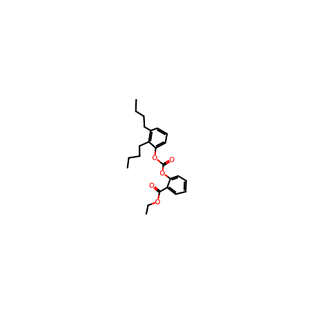 CCCCc1cccc(OC(=O)Oc2ccccc2C(=O)OCC)c1CCCC